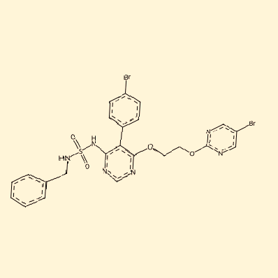 O=S(=O)(NCc1ccccc1)Nc1ncnc(OCCOc2ncc(Br)cn2)c1-c1ccc(Br)cc1